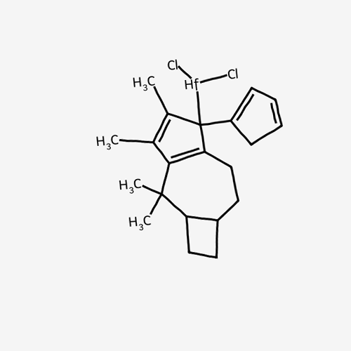 CC1=C(C)[C](C2=CC=CC2)([Hf]([Cl])[Cl])C2=C1C(C)(C)C1CCC1CC2